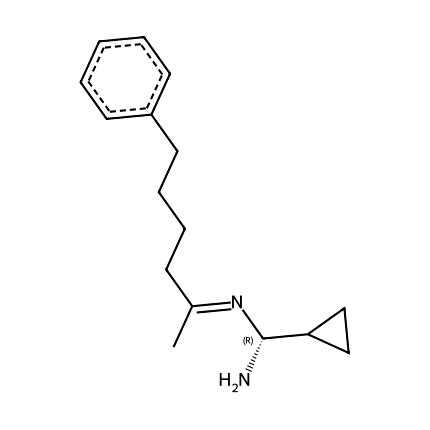 CC(CCCCc1ccccc1)=N[C@@H](N)C1CC1